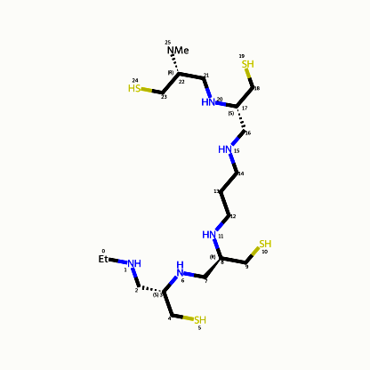 CCNC[C@@H](CS)NC[C@H](CS)NCCCNC[C@@H](CS)NC[C@H](CS)NC